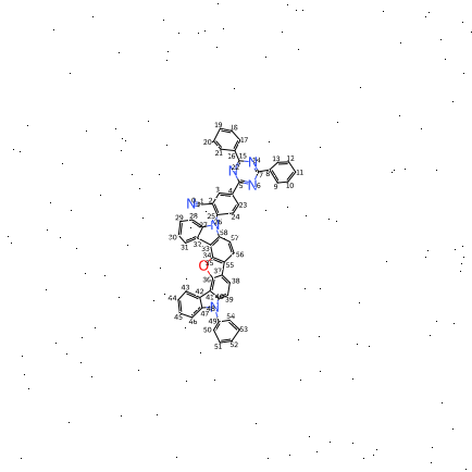 N#Cc1cc(-c2nc(-c3ccccc3)nc(-c3ccccc3)n2)ccc1-n1c2ccccc2c2c3oc4c(ccc5c4c4ccccc4n5-c4ccccc4)c3ccc21